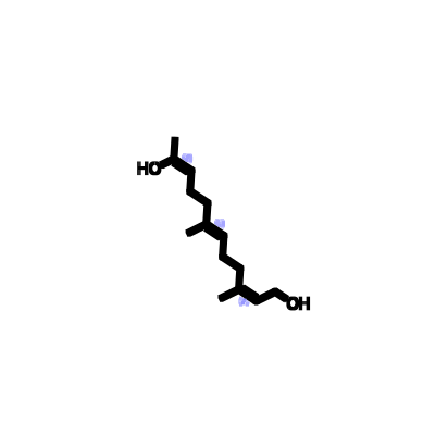 C/C(O)=C/CC/C(C)=C/CC/C(C)=C\CO